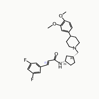 COc1ccc(C2CCN(C[C@@H]3CC[C@H](NC(=O)/C=C/c4cc(F)cc(F)c4)C3)CC2)cc1OC